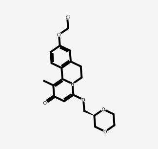 Cc1c2n(c(OC[C@@H]3COCCO3)cc1=O)CCc1cc(OCCl)ccc1-2